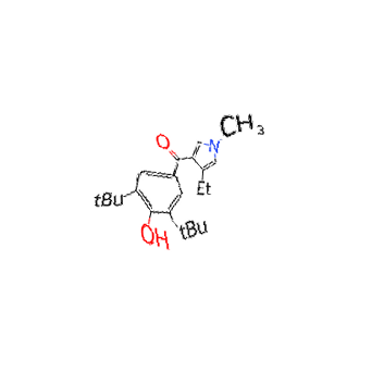 CCc1cn(C)cc1C(=O)c1cc(C(C)(C)C)c(O)c(C(C)(C)C)c1